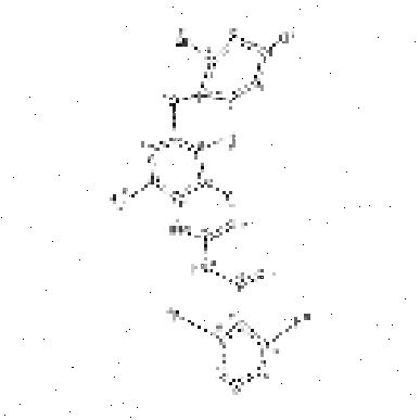 Cc1cc(Oc2ccc(Cl)cc2Br)c(Cl)c(Cl)c1NC(=O)NC(=O)c1c(F)cccc1F